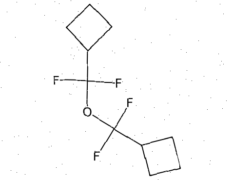 FC(F)(OC(F)(F)C1CCC1)C1CCC1